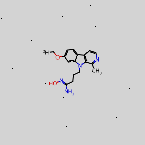 [2H]COc1ccc2c3ccnc(C)c3n(CCCC(N)=NO)c2c1